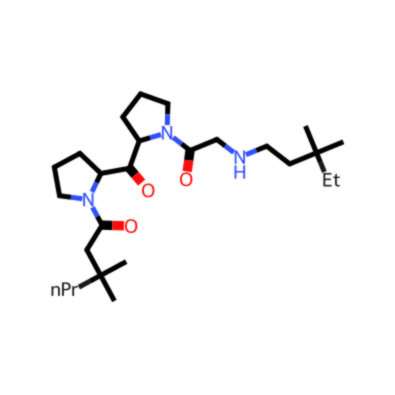 CCCC(C)(C)CC(=O)N1CCCC1C(=O)C1CCCN1C(=O)CNCCC(C)(C)CC